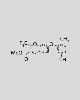 COC(=O)C1=Cc2ccc(Oc3cc(C)ccc3C)cc2OC1C(F)(F)F